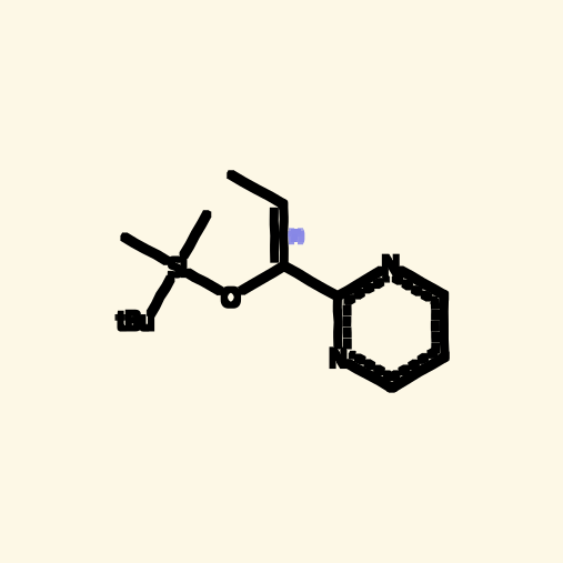 C/C=C(\O[Si](C)(C)C(C)(C)C)c1ncccn1